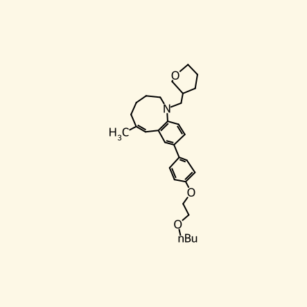 CCCCOCCOc1ccc(-c2ccc3c(c2)/C=C(/C)CCCCN3CC2CCCOC2)cc1